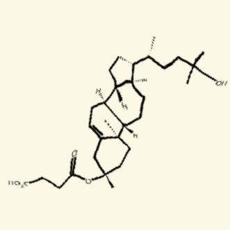 C[C@H](CCC(C)(C)O)[C@H]1CC[C@H]2[C@@H]3CC=C4C[C@@](C)(OC(=O)CCC(=O)O)CC[C@]4(C)[C@H]3CC[C@]12C